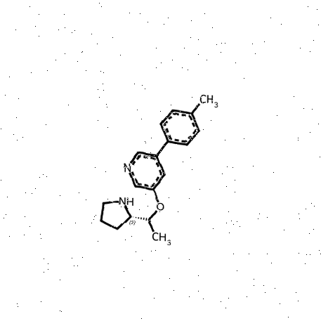 Cc1ccc(-c2cncc(OC(C)[C@@H]3CCCN3)c2)cc1